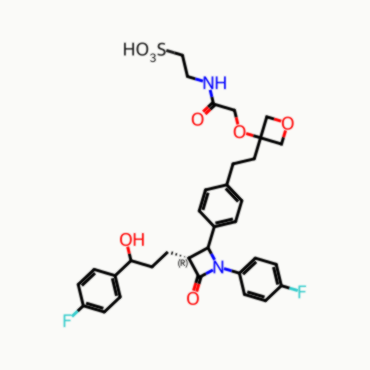 O=C(COC1(CCc2ccc(C3[C@@H](CCC(O)c4ccc(F)cc4)C(=O)N3c3ccc(F)cc3)cc2)COC1)NCCS(=O)(=O)O